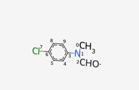 CN([C]=O)c1ccc(Cl)cc1